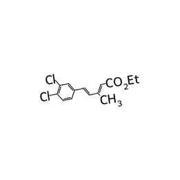 CCOC(=O)C=C(C)C=Cc1ccc(Cl)c(Cl)c1